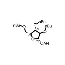 CCCCOC[C@H]1O[C@@H](OC)C(OCCCC)[C@H]1OCCCC